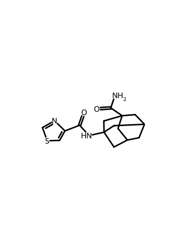 NC(=O)C12CC3CC(CC(NC(=O)c4cscn4)(C3)C1)C2